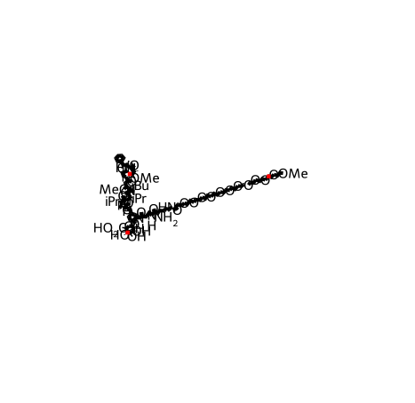 CC[C@H](C)[C@@H](C(CC(=O)N1CCC[C@H]1[C@H](OC)[C@@H](C)C(=O)N[C@H](C)[C@@H](O)c1ccccc1)OC)N(C)C(=O)[C@@H](NC(=O)[C@H](C(C)C)N(C)C(=O)OCc1ccc(O[C@@H]2O[C@H](C(=O)O)[C@@H](O)[C@H](O)[C@H]2O)c(NC(=O)CCNC(=O)[C@@H](N)CCCCNC(=O)CCOCCOCCOCCOCCOCCOCCOCCOCCOCCOCCOCCOC)c1)C(C)C